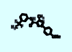 COc1ccc(-n2[c]c(C(=O)Nc3cccc(C(C)(F)F)c3)c(C)n2)cc1